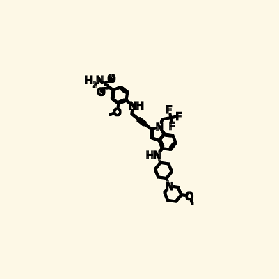 COc1cc(S(N)(=O)=O)ccc1NCC#Cc1cc2c(N[C@H]3CC[C@@H](N4CCCC(OC)C4)CC3)cccc2n1CC(F)(F)F